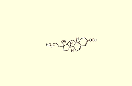 CC(C)COC1=CC2=CC[C@@H]3[C@H](CC[C@@]4(C)[C@H]3CC[C@]4(O)CCC(=O)O)[C@@]2(C)CC1